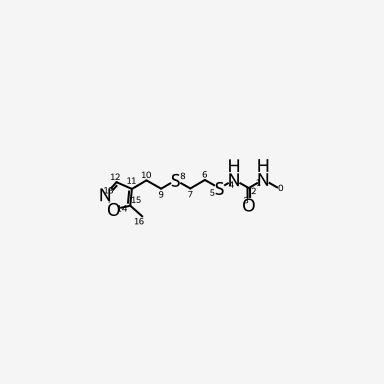 CNC(=O)NSCCSCCc1cnoc1C